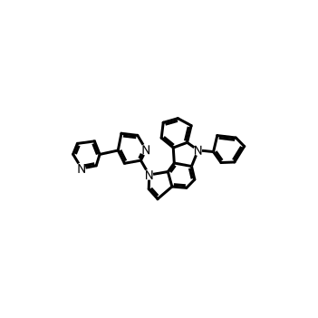 c1ccc(-n2c3ccccc3c3c4c(ccc32)ccn4-c2cc(-c3cccnc3)ccn2)cc1